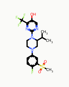 CC(C)C1CN(c2ccc(F)c(S(C)(=O)=O)c2)CCN1c1ncc(O)c(C(F)(F)F)n1